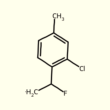 [CH2]C(F)c1ccc(C)cc1Cl